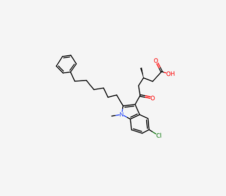 C[C@@H](CC(=O)O)CC(=O)c1c(CCCCCCc2ccccc2)n(C)c2ccc(Cl)cc12